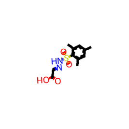 Cc1cc(C)c(S(=O)(=O)NN=CC(=O)O)c(C)c1